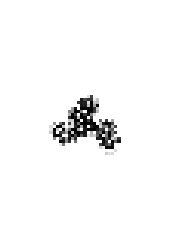 c1ccc2c(c1)ccc1ccc(N(c3ccc(-c4cccc5c4sc4ccccc45)cc3)c3cccc4c3oc3ccccc34)cc12